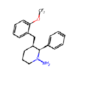 NN1CCC[C@@H](Cc2ccccc2OC(F)(F)F)[C@H]1c1ccccc1